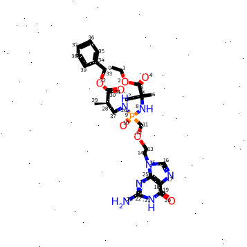 CCOC(=O)C(C)(C)NP(=O)(COCCn1cnc2c(=O)[nH]c(N)nc21)NC[C@@H](C)C(=O)OCc1ccccc1